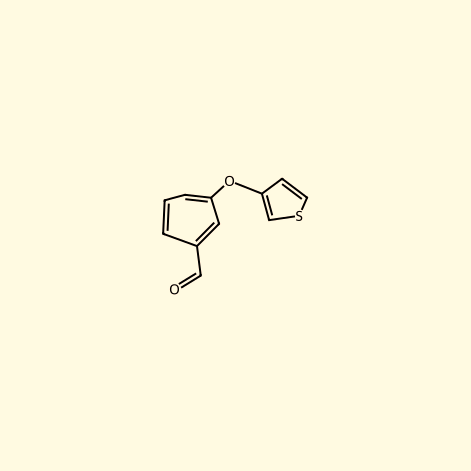 O=Cc1cccc(Oc2ccsc2)c1